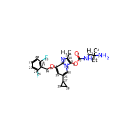 CCC(C)(N)CNC(=O)Oc1c(C)nc2c(OCc3c(F)cccc3F)cc(C3CC3)cn12